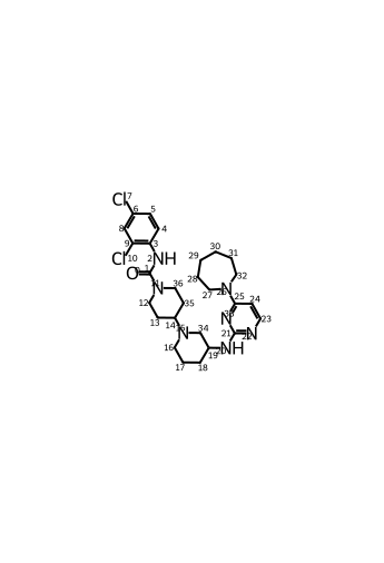 O=C(Nc1ccc(Cl)cc1Cl)N1CCC(N2CCCC(Nc3nccc(N4CCCCCC4)n3)C2)CC1